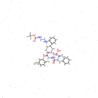 CC(C)(C)OC(=O)NCCNc1ccccc1C1CCN(C(=O)[C@@H](Cc2ccc(Cl)cc2)NC(=O)[C@@H]2Cc3ccccc3CN2C(=O)O)CC1